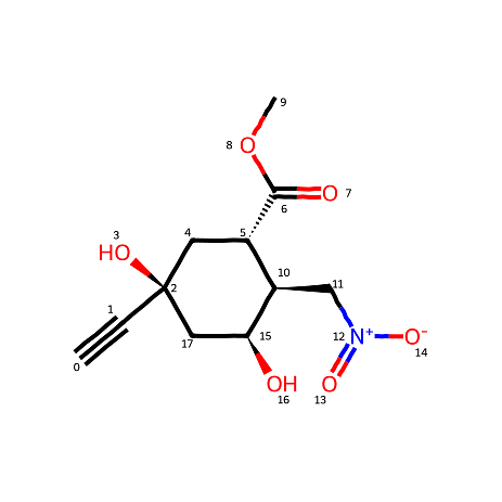 C#C[C@]1(O)C[C@H](C(=O)OC)[C@@H](C[N+](=O)[O-])[C@@H](O)C1